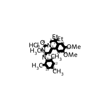 CCC1(CC)Cn2c(cc(=Nc3c(C)cc(C)cc3C)n(C)c2=O)-c2cc(OC)c(OC)cc21.Cl